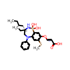 CCCC[C@@]1(CC)CN(c2ccccc2)c2cc(SC)c(O/C=C/C(=O)O)cc2S(O)(O)N1